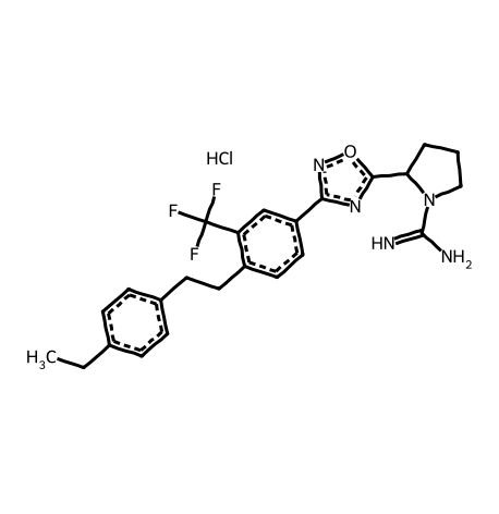 CCc1ccc(CCc2ccc(-c3noc(C4CCCN4C(=N)N)n3)cc2C(F)(F)F)cc1.Cl